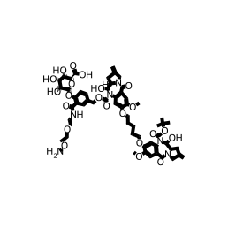 C=C1CC2C(O)N(C(=O)OC(C)(C)C)c3cc(OCCCCCOc4cc5c(cc4OC)C(=O)N4CC(=C)C[C@H]4C(O)N5C(=O)OCc4ccc(O[C@@H]5O[C@H](C(=O)O)[C@@H](O)[C@H](O)[C@H]5O)c(C(=O)NCCOCCON)c4)c(OC)cc3C(=O)N2C1